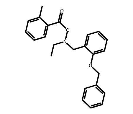 CCN(Cc1ccccc1OCc1ccccc1)OC(=O)c1ccccc1C